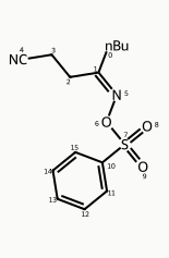 CCCCC(CCC#N)=NOS(=O)(=O)c1ccccc1